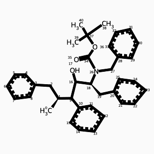 C[C@@H](Cc1ccccc1)C(c1ccccc1)C(O)[C@H](Cc1ccccc1)N(Cc1ccccc1)C(=O)OC(C)(C)C